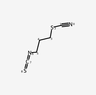 N#CSCCCN=C=S